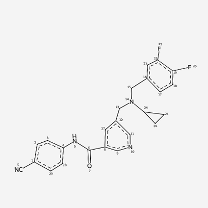 N#Cc1ccc(NC(=O)c2cncc(CN(Cc3ccc(F)c(F)c3)C3CC3)c2)cc1